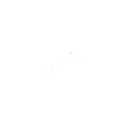 N#CCC(C1CCCC1)n1cc(-c2ccnc(Nc3ccc(C(N)=O)cc3)n2)cn1